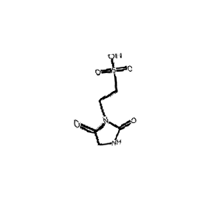 O=C1CNC(=O)N1CCS(=O)(=O)O